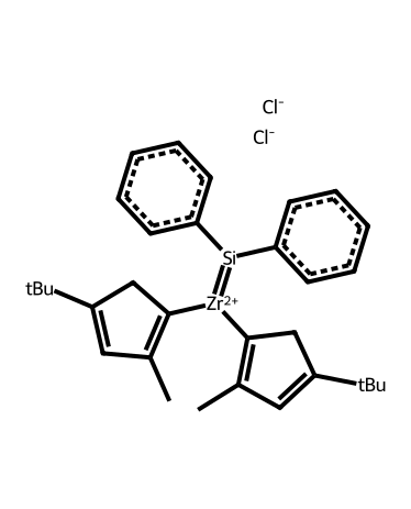 CC1=[C]([Zr+2]([C]2=C(C)C=C(C(C)(C)C)C2)=[Si](c2ccccc2)c2ccccc2)CC(C(C)(C)C)=C1.[Cl-].[Cl-]